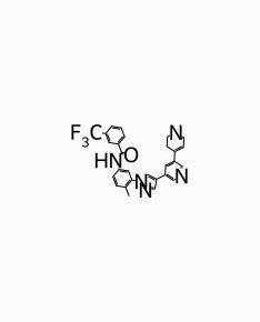 Cc1ccc(NC(=O)c2cccc(C(F)(F)F)c2)cc1-n1cc(-c2cncc(C3=CC=NCC3)c2)cn1